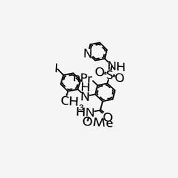 CCCc1c(S(=O)(=O)Nc2cccnc2)ccc(C(=O)NOC)c1Nc1ccc(I)cc1C